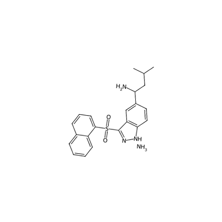 CC(C)CC(N)c1ccc2[nH]nc(S(=O)(=O)c3cccc4ccccc34)c2c1.N